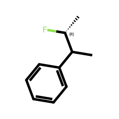 CC(c1ccccc1)[C@@H](C)F